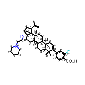 C=C(C)[C@@H]1CC[C@]2(NCCN3CCCCC3)CC[C@]3(C)[C@H](CC[C@@H]4[C@@]5(C)CC=C(c6ccc(C(=O)O)c(F)c6)C(C)(C)[C@@H]5CC[C@]43C)[C@@H]12